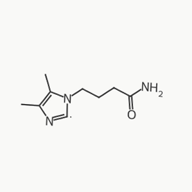 Cc1n[c]n(CCCC(N)=O)c1C